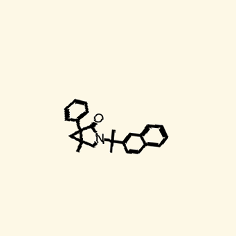 CC(C)(c1ccc2ccccc2c1)N1CC2(C)CC2(c2ccccc2)C1=O